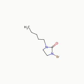 CCCCCN1CCN(Br)C1=O